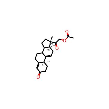 CC(=O)OCC(=O)[C@@]1(C)CCC2C3CCC4=CC(=O)CC[C@]4(C)C3=CC[C@@]21C